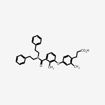 Cc1cc(Oc2cccc(C(=O)N(CCc3ccccc3)CCc3ccccc3)c2C)ccc1CCC(=O)O